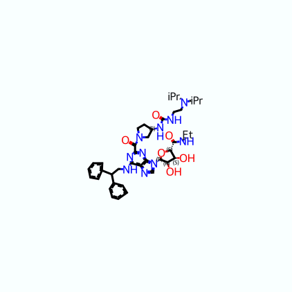 CCNC(=O)[C@H]1O[C@@H](n2cnc3c(NCC(c4ccccc4)c4ccccc4)nc(C(=O)N4CC[C@@H](NC(=O)NCCN(C(C)C)C(C)C)C4)nc32)[C@H](O)[C@@H]1O